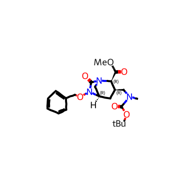 COC(=O)[C@H]1[C@@H](CN(C)C(=O)OC(C)(C)C)C[C@@H]2CN1C(=O)N2OCc1ccccc1